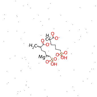 C=C(CCCCS(=O)(=O)O)C(=O)[O-].C=C(CCCCS(=O)(=O)O)C(=O)[O-].[Mg+2]